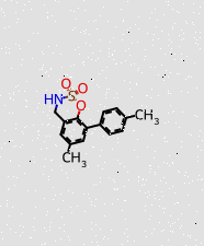 Cc1ccc(-c2cc(C)cc3c2OS(=O)(=O)NC3)cc1